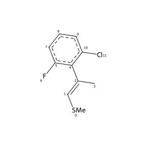 CS/C=C(\C)c1c(F)cccc1Cl